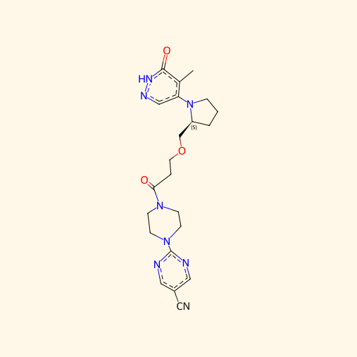 Cc1c(N2CCC[C@H]2COCCC(=O)N2CCN(c3ncc(C#N)cn3)CC2)cn[nH]c1=O